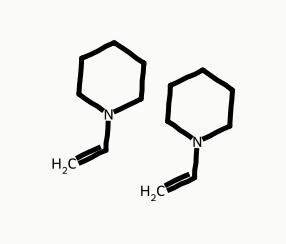 C=CN1CCCCC1.C=CN1CCCCC1